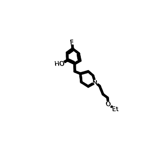 CCOCCCN1CCC(Cc2ccc(F)cc2O)CC1